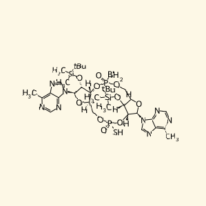 BP1(=O)OC[C@H]2O[C@@H](n3cnc4c(C)ncnc43)[C@H](OP(=O)(S)OC[C@H]3O[C@@H](n4cnc5c(C)ncnc54)[C@H](O[Si](C)(C)C(C)(C)C)[C@@H]3O1)[C@@H]2O[Si](C)(C)C(C)(C)C